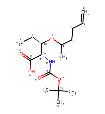 C=CCCC(C)O[C@@H](CC)[C@H](NC(=O)OC(C)(C)C)C(=O)O